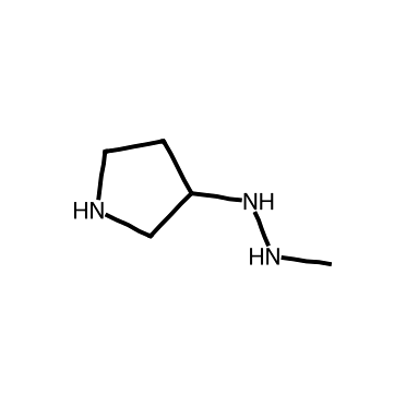 CNNC1CCNC1